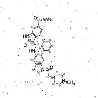 CSC(=O)c1ccc2c(c1)NC(=O)/C2=C(\Nc1ccc2c(c1)CCN2C(=O)CN1CCN(C)CC1)c1ccccc1